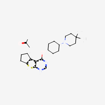 CC(=O)C[C@H]1CCc2sc3ncnc(O[C@H]4CC[C@H](N5CCC(C)(C)CC5)CC4)c3c21